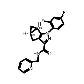 O=C(NCc1ccccn1)c1nn(-c2ccc(F)cc2F)c2c1C[C@H]1C[C@@H]21